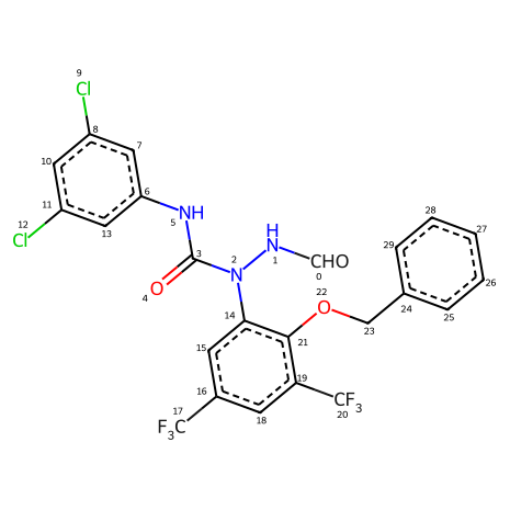 O=CNN(C(=O)Nc1cc(Cl)cc(Cl)c1)c1cc(C(F)(F)F)cc(C(F)(F)F)c1OCc1ccccc1